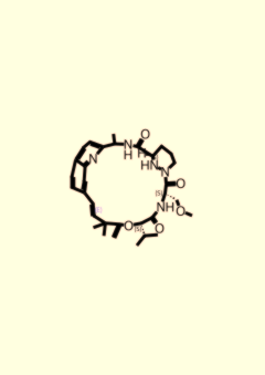 C=C1O[C@@H](C(C)C)C(=O)N[C@@H](COC)C(=O)N2CCC[C@H](N2)C(=O)NC(C)c2ccc3ccc(cc3n2)/C=C/C1(C)C